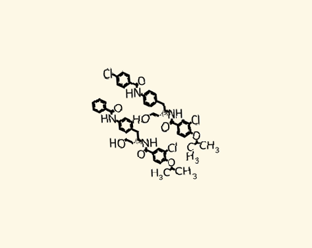 CC(C)Oc1ccc(C(=O)N[C@H](CCO)Cc2ccc(NC(=O)c3ccc(Cl)cc3)cc2)cc1Cl.CC(C)Oc1ccc(C(=O)N[C@H](CCO)Cc2ccc(NC(=O)c3ccccc3)cc2)cc1Cl